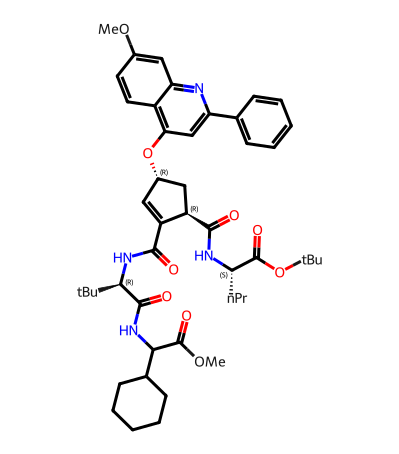 CCC[C@H](NC(=O)[C@@H]1C[C@@H](Oc2cc(-c3ccccc3)nc3cc(OC)ccc23)C=C1C(=O)N[C@@H](C(=O)NC(C(=O)OC)C1CCCCC1)C(C)(C)C)C(=O)OC(C)(C)C